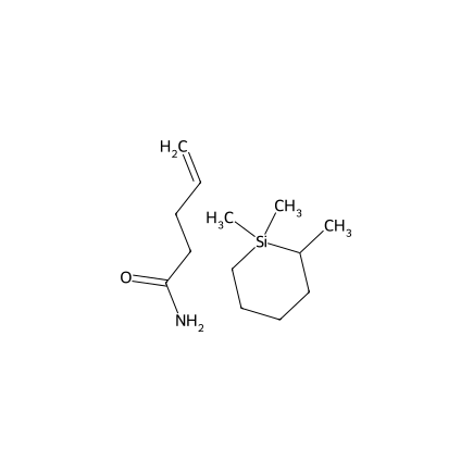 C=CCCC(N)=O.CC1CCCC[Si]1(C)C